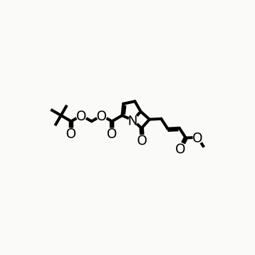 COC(=O)C=CCC1C(=O)N2C(C(=O)OCOC(=O)C(C)(C)C)=CCC12